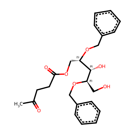 CC(=O)CCC(=O)OC[C@H](OCc1ccccc1)[C@H](O)[C@@H](CO)OCc1ccccc1